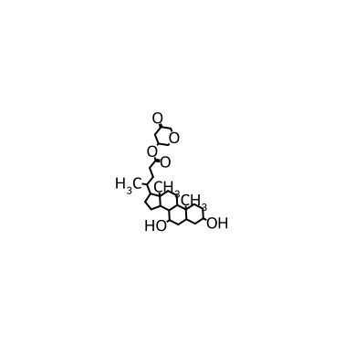 CC(CCC(=O)OC1COCC(=O)C1)C1CCC2C3C(O)CC4CC(O)CCC4(C)C3CCC12C